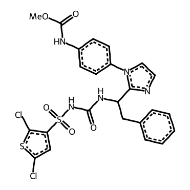 COC(=O)Nc1ccc(-n2ccnc2C(Cc2ccccc2)NC(=O)NS(=O)(=O)c2cc(Cl)sc2Cl)cc1